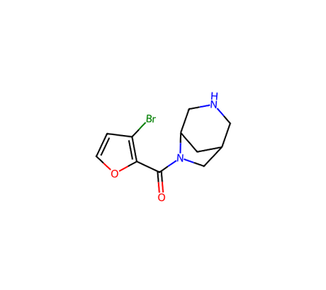 O=C(c1occc1Br)N1CC2CNCC1C2